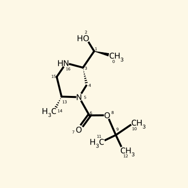 C[C@H](O)[C@@H]1CN(C(=O)OC(C)(C)C)[C@H](C)CN1